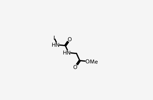 COC(=O)CNC(=O)NI